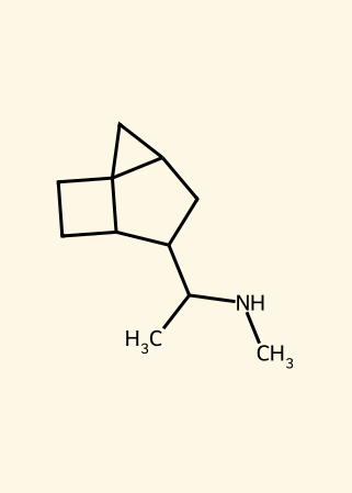 CNC(C)C1CC2CC23CCC13